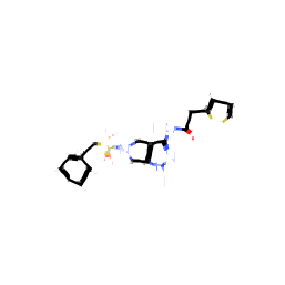 O=C(Cc1cccs1)Nc1n[nH]c2c1CN(S(=O)(=O)Cc1ccccc1)C2